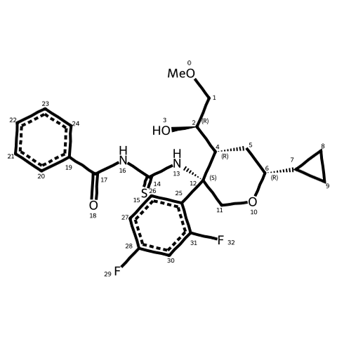 COC[C@H](O)[C@@H]1C[C@H](C2CC2)OC[C@@]1(NC(=S)NC(=O)c1ccccc1)c1ccc(F)cc1F